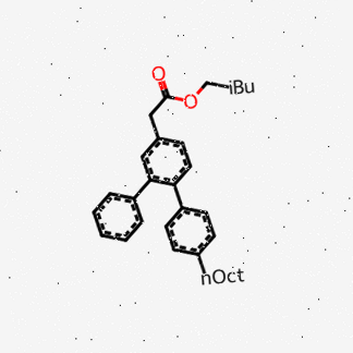 CCCCCCCCc1ccc(-c2ccc(CC(=O)OCC(C)CC)cc2-c2ccccc2)cc1